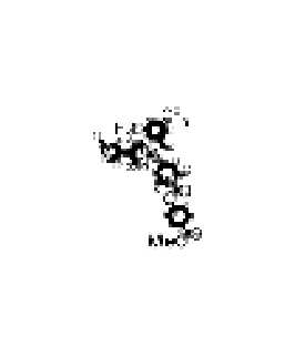 COC(=O)[C@H]1CC[C@H](OC(=O)N2[C@H](C)C[C@H](N(Cc3cc(C(F)(F)F)cc(C(F)(F)F)c3)c3ncc(-c4cnn(C)c4)cn3)C[C@@H]2C)CC1